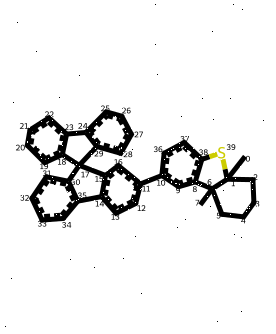 CC12CCCCC1(C)c1cc(-c3ccc4c(c3)C3(c5ccccc5-c5ccccc53)c3ccccc3-4)ccc1S2